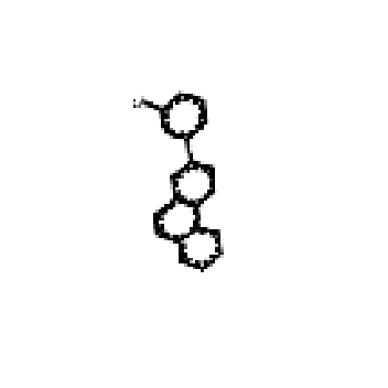 Clc1cccc(-c2ccc3c(ccc4ccccc43)c2)c1